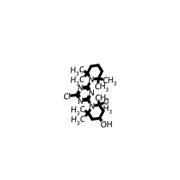 CC1(C)CCCC(C)(C)N1c1nc(Cl)nc(N2C(C)(C)CC(O)CC2(C)C)n1